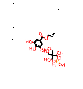 CCCOC(=O)c1cc(O)c(O)c(O)c1.OCC(CO)(CO)CO.OP(O)O